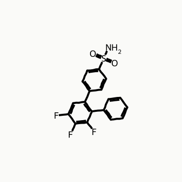 NS(=O)(=O)c1ccc(-c2cc(F)c(F)c(F)c2-c2ccccc2)cc1